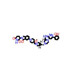 COC1(CN2C[C@@H]3[C@@H](CN4CCN5c6cc(-c7ccccc7O)nnc6NC[C@H]5C4)[C@@H]3C2)CCN(c2ccc3c(c2)C(=O)N(C2CCC(=O)NC2=O)C3)CC1